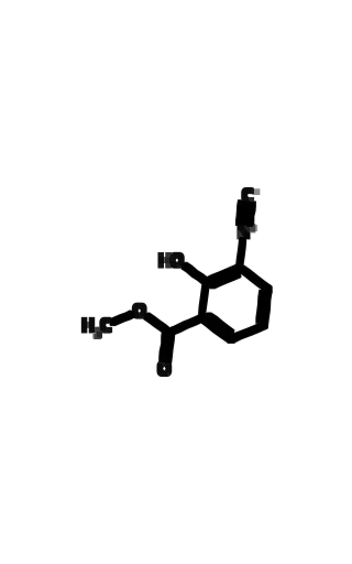 [C-]#[N+]c1cccc(C(=O)OC)c1O